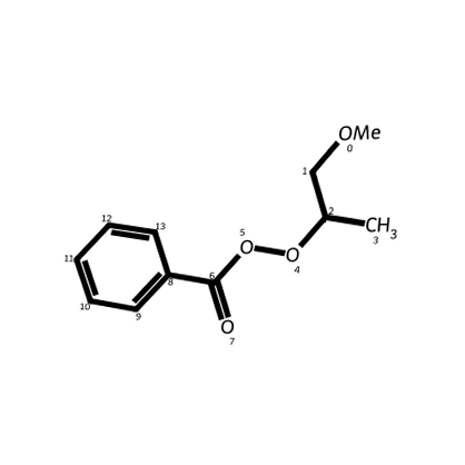 COC[C](C)OOC(=O)c1ccccc1